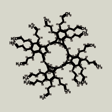 C=CCSc1c(SCC=C)c(SCC=C)c2c(c1SCC=C)-c1nc-2nc2[nH]c(nc3nc(nc4[nH]c(n1)c1c(SCC=C)c(SCC=C)c(SCC=C)c(SCC=C)c41)-c1c(SCC=C)c(SCC=C)c(SCC=C)c(SCC=C)c1-3)c1c(SCC=C)c(SCC=C)c(SCC=C)c(SCC=C)c21